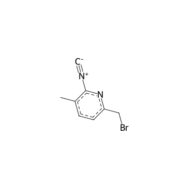 [C-]#[N+]c1nc(CBr)ccc1C